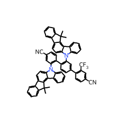 CC1(C)c2ccccc2-c2ccc3c(c21)c1ccccc1n3-c1cc(C#N)ccc1-c1ccc(-c2ccc(C#N)cc2C(F)(F)F)cc1-n1c2ccccc2c2c3c(ccc21)-c1ccccc1C3(C)C